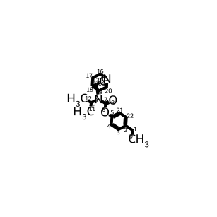 CCc1ccc(OC(=O)N(C(C)C)C2CN3CCC2CC3)cc1